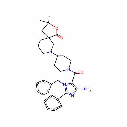 CC1(C)CC2(CCCN(C3CCN(C(=O)c4c(N)nc(-c5ccccc5)n4Cc4ccccc4)CC3)C2)C(=O)O1